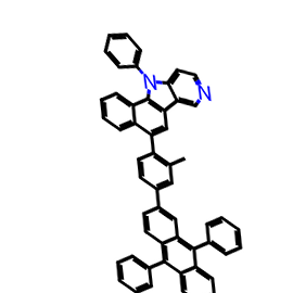 Cc1cc(-c2ccc3c(-c4ccccc4)c4ccccc4c(-c4ccccc4)c3c2)ccc1-c1cc2c3cnccc3n(-c3ccccc3)c2c2ccccc12